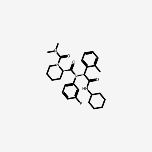 Cc1ccccc1[C@@H](C(=O)NC1CCCCC1)N(C(=O)[C@H]1CCCCN1C(=O)N(C)C)c1cccc(F)c1